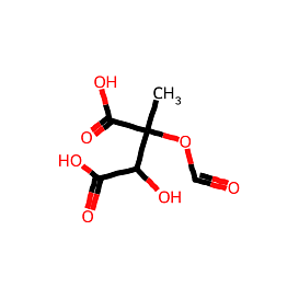 CC(OC=O)(C(=O)O)C(O)C(=O)O